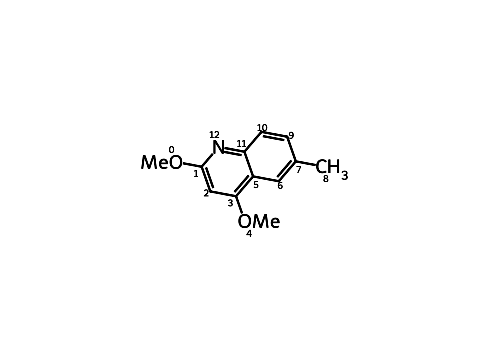 COc1cc(OC)c2cc(C)ccc2n1